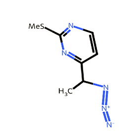 CSc1nccc(C(C)N=[N+]=[N-])n1